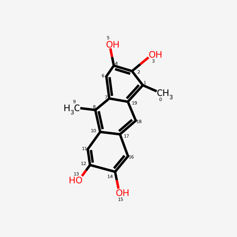 Cc1c(O)c(O)cc2c(C)c3cc(O)c(O)cc3cc12